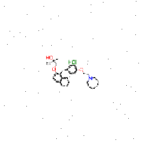 CCC(C)(O)COc1ccc2ccccc2c1Cc1ccc(OCCN2CCCCCC2)cc1.Cl